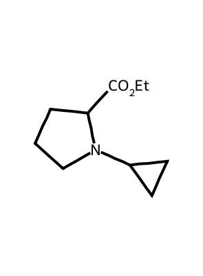 CCOC(=O)C1CCCN1C1CC1